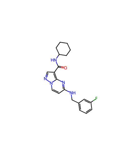 O=C(NC1CCCCC1)c1cnn2ccc(NCc3cccc(F)c3)nc12